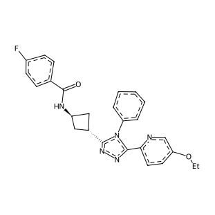 CCOc1ccc(-c2nnc([C@H]3C[C@H](NC(=O)c4ccc(F)cc4)C3)n2-c2ccccc2)nc1